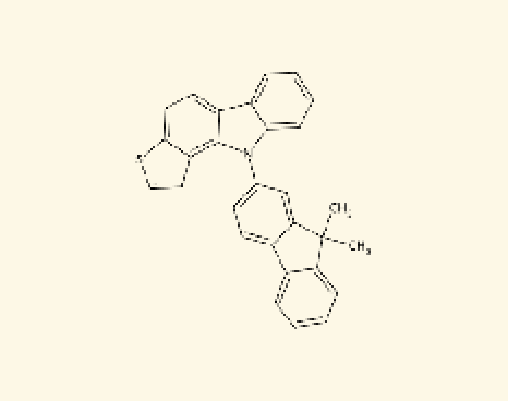 CC1(C)c2ccccc2-c2ccc(-n3c4ccccc4c4ccc5sccc5c43)cc21